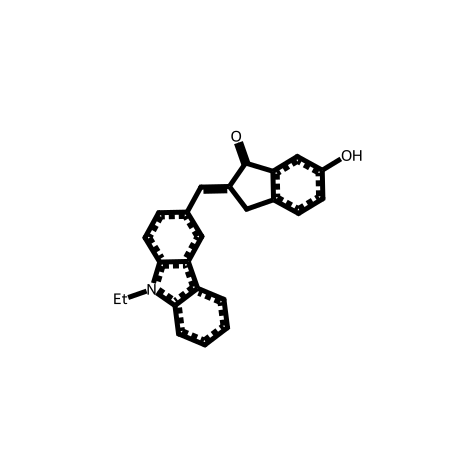 CCn1c2ccccc2c2cc(C=C3Cc4ccc(O)cc4C3=O)ccc21